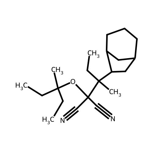 CCC(C)(CC)OC(C#N)(C#N)C(C)(CC)C1CC2CCCC1C2